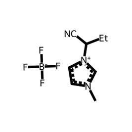 CCC(C#N)[n+]1ccn(C)c1.F[B-](F)(F)F